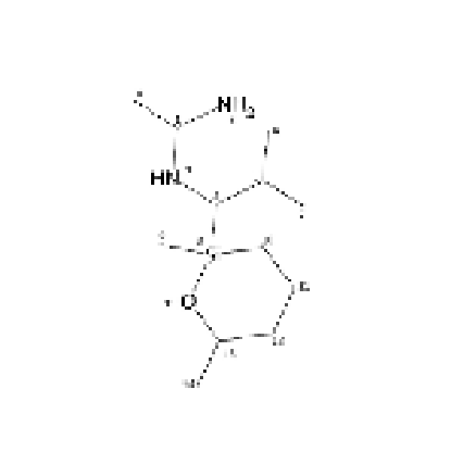 CC(N)NC(C(C)C)[Si]1(C)CCCC(C)O1